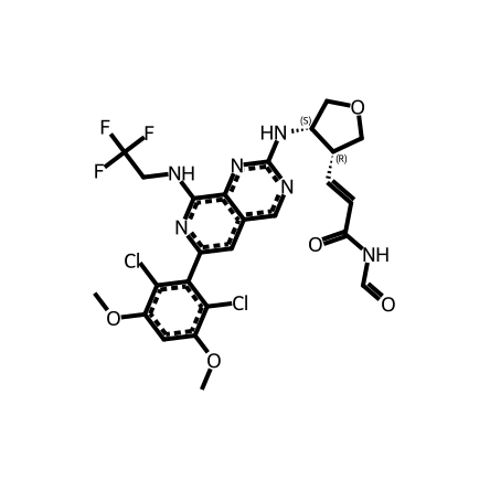 COc1cc(OC)c(Cl)c(-c2cc3cnc(N[C@@H]4COC[C@@H]4C=CC(=O)NC=O)nc3c(NCC(F)(F)F)n2)c1Cl